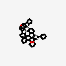 c1ccc(-c2nc(-c3ccccc3)nc(-c3ccc(-n4c5ccccc5c5ccccc54)c(-n4c5ccccc5c5ccccc54)c3-c3cc4ccccc4c4ccccc34)n2)cc1